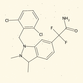 CC1c2ccc(C(F)(F)C(N)=O)cc2N(Cc2c(Cl)cccc2Cl)N1C